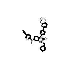 COc1cccc(-c2ccc(N(C(=O)NCc3ccccc3)C3CCC(Nc4ccc(C#N)cn4)CC3)cc2)n1